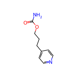 NC(=O)OCCCc1ccncc1